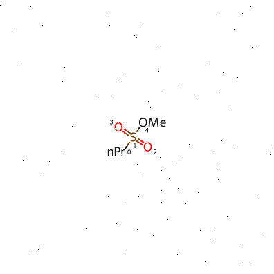 [CH2]CCS(=O)(=O)OC